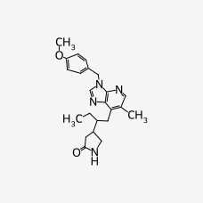 CCC(Cc1c(C)cnc2c1ncn2Cc1ccc(OC)cc1)C1CNC(=O)C1